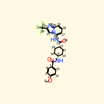 COc1ccc(C(=O)N[C@H]2CC[C@@H](C(=O)Nc3cccc4nc(C(F)(F)F)cn34)CC2)cc1